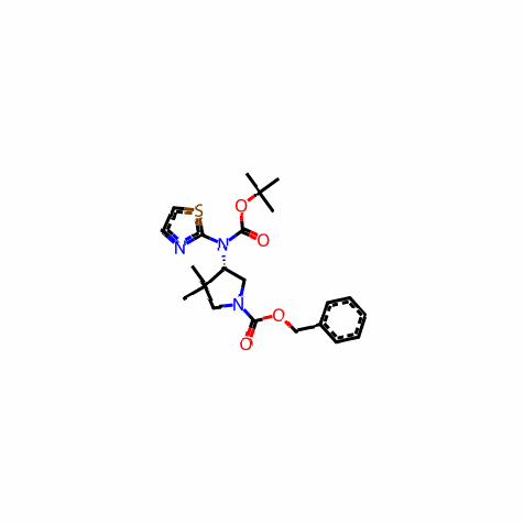 CC(C)(C)OC(=O)N(c1nccs1)[C@@H]1CN(C(=O)OCc2ccccc2)CC1(C)C